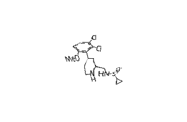 COc1ccc(Cl)c(Cl)c1C1CCNC(CN[S+]([O-])C2CC2)C1